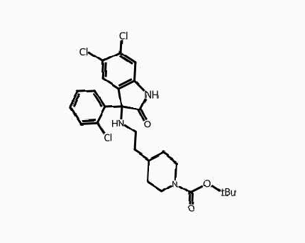 CC(C)(C)OC(=O)N1CCC(CCNC2(c3ccccc3Cl)C(=O)Nc3cc(Cl)c(Cl)cc32)CC1